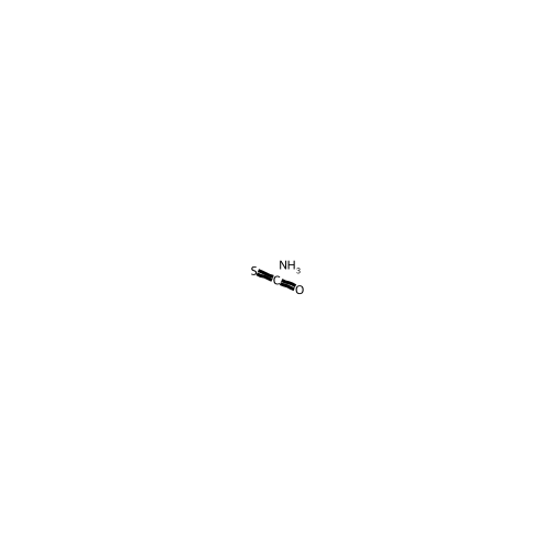 N.O=C=S